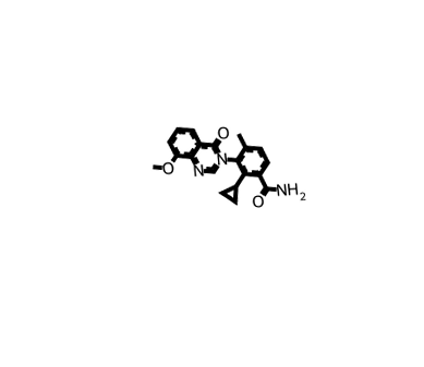 COc1cccc2c(=O)n(-c3c(C)ccc(C(N)=O)c3C3CC3)cnc12